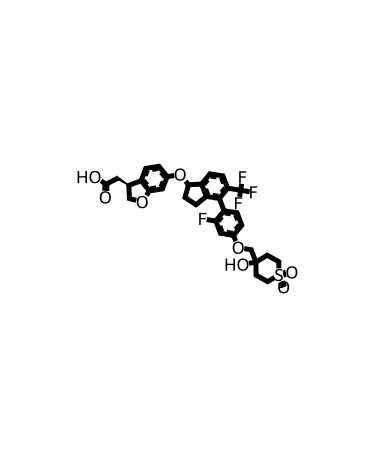 O=C(O)C[C@@H]1COc2cc(OC3CCc4c3ccc(C(F)(F)F)c4-c3ccc(OCC4(O)CCS(=O)(=O)CC4)cc3F)ccc21